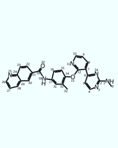 CNc1nccc(-c2cccnc2Oc2ccc(NC(=O)c3ccc4ncccc4c3)cc2C)n1